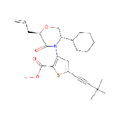 C=CC[C@H]1OCC(C2CCCCC2)N(c2cc(C#CC(C)(C)C)sc2C(=O)OC)C1=O